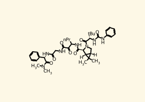 CCCC(NC(=O)[C@@H]1[C@@H]2[C@H](CN1C(=O)[C@@H](NC(=O)Nc1ccccc1)C(C)(C)C)C2(C)C)C(=O)C(=O)NCC(=O)N[C@H](C(=O)N(C)C)c1ccccc1